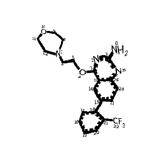 Nc1nc(OCCN2CCOCC2)c2cc(-c3ccccc3C(F)(F)F)ccc2n1